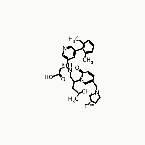 Cc1cccc(C)c1-c1cncc([C@H](CC(=O)O)NCC(CC(C)C)n2cc(CN3CC[C@@H](F)C3)ccc2=O)c1